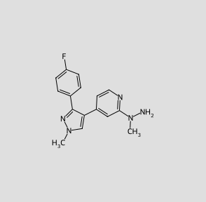 CN(N)c1cc(-c2cn(C)nc2-c2ccc(F)cc2)ccn1